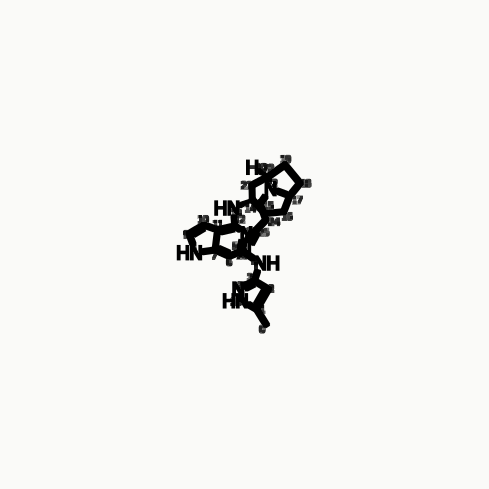 Cc1cc(Nc2cc3[nH]ccc3c(N[C@@H]3CCC4CC[C@@H](C3)N4CCC#N)n2)n[nH]1